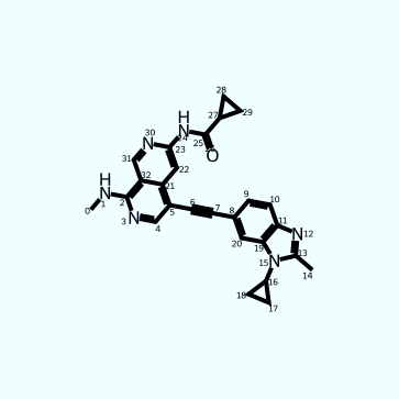 CNc1ncc(C#Cc2ccc3nc(C)n(C4CC4)c3c2)c2cc(NC(=O)C3CC3)ncc12